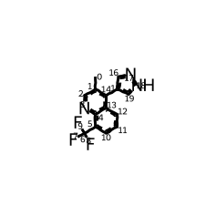 Cc1cnc2c(C(F)(F)F)cccc2c1-c1cn[nH]c1